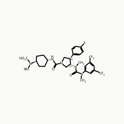 CN(C(=O)N(C)[C@@H]1CN(C(=O)N[C@H]2CC[C@H](N(C(=O)O)C(C)(C)C)CC2)C[C@H]1c1ccc(F)cc1)c1cc(C(F)(F)F)cc(C(F)(F)F)c1